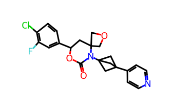 O=C1OC(c2ccc(Cl)c(F)c2)CC2(COC2)N1C12CC(c3ccncc3)(C1)C2